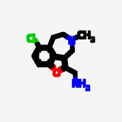 CN1CCc2c(Cl)ccc3oc(CN)c(c23)C1